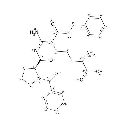 NC(=NC(=O)[C@@H]1CCCN1C(=O)c1ccccc1)N(CCC[C@H](N)C(=O)O)C(=O)OCc1ccccc1